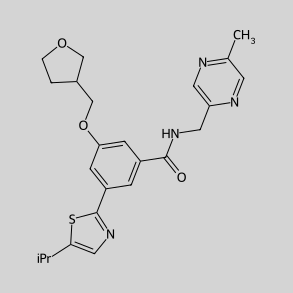 Cc1cnc(CNC(=O)c2cc(OCC3CCOC3)cc(-c3ncc(C(C)C)s3)c2)cn1